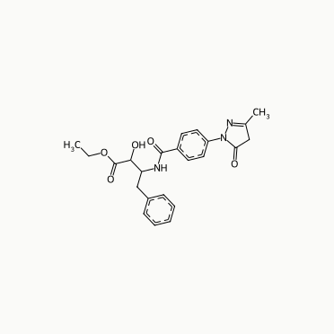 CCOC(=O)C(O)C(Cc1ccccc1)NC(=O)c1ccc(N2N=C(C)CC2=O)cc1